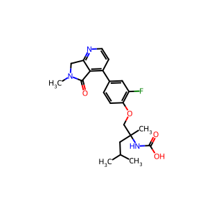 CC(C)CC(C)(COc1ccc(-c2ccnc3c2C(=O)N(C)C3)cc1F)NC(=O)O